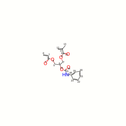 C=CC(=O)OCC(COC(=O)C(=C)C)OC(=O)Nc1ccccc1